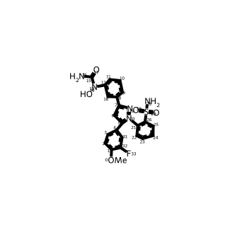 COc1ccc(-c2cc(-c3cccc(N(O)C(N)=O)c3)nn2-c2ccccc2S(N)(=O)=O)cc1F